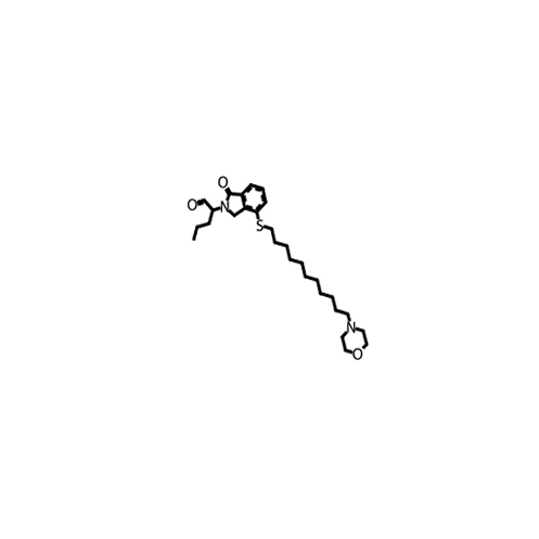 CCCC(C=O)N1Cc2c(SCCCCCCCCCCCN3CCOCC3)cccc2C1=O